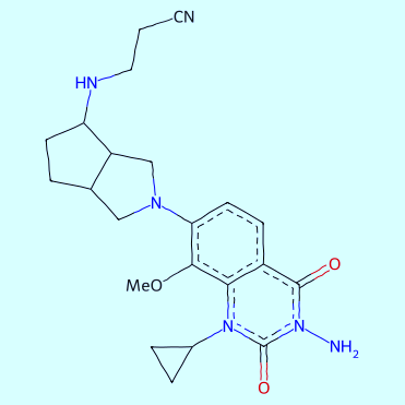 COc1c(N2CC3CCC(NCCC#N)C3C2)ccc2c(=O)n(N)c(=O)n(C3CC3)c12